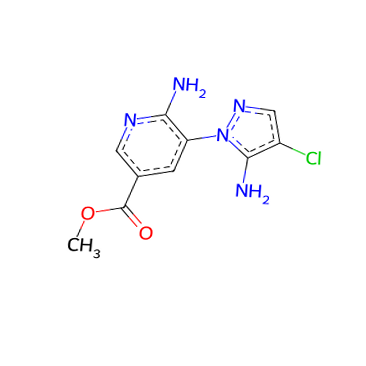 COC(=O)c1cnc(N)c(-n2ncc(Cl)c2N)c1